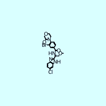 COC[C@H](NC(=O)c1ccc(N2CCOCC2=O)c(Br)c1)c1nc2ccc(Cl)cc2[nH]1